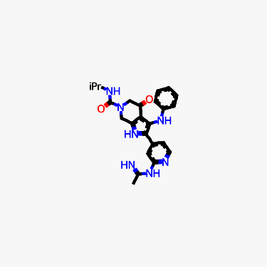 CC(=N)Nc1cc(-c2[nH]c3c(c2Nc2ccccc2)C(=O)CN(C(=O)NC(C)C)C3)ccn1